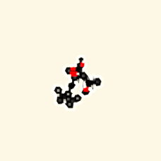 CC(C)(C)c1ccc2c(c1)c1ccccc1n2-c1ccc(-c2nc(-c3ccccc3)nc(-c3ccccc3)n2)cc1-c1nc(-c2ccccc2)cc(-c2ccc(-c3cc4c5c(c3)N(c3ccccc3)c3ccccc3B5c3ccccc3N4c3ccccc3)cc2)n1